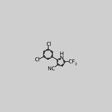 N#Cc1cc(C(F)(F)F)[nH]c1-c1cc(Cl)cc(Cl)c1